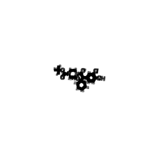 CC(C)(C)OC(=O)N1CCN(C(=O)C(c2ccc(O)c(Cl)c2)C2(O)CCCCC2)CC1